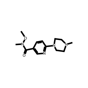 CON(C)C(=O)c1ccc(N2CCN(C)CC2)nc1